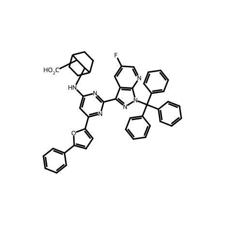 O=C(O)C1C2CCC(CC2)C1Nc1cc(-c2ccc(-c3ccccc3)o2)nc(-c2nn(C(c3ccccc3)(c3ccccc3)c3ccccc3)c3ncc(F)cc23)n1